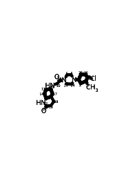 Cc1cc(N2CCN(C(=O)CNc3ccc4c(c3)CCC(=O)N4)CC2)ccc1Cl